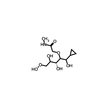 CNC(=O)COC(C(O)C1CC1)[C@H](O)C(O)COO